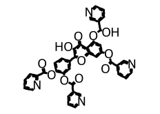 O=C(Oc1cc(OC(O)c2cccnc2)c2c(=O)c(O)c(-c3ccc(OC(=O)c4ccccn4)c(OC(=O)c4cccnc4)c3)oc2c1)c1cccnc1